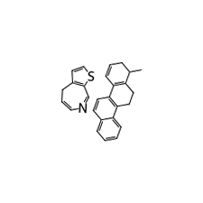 C1=CN=Cc2sccc2C1.CC1CC=CC2=C1CCc1c2ccc2ccccc12